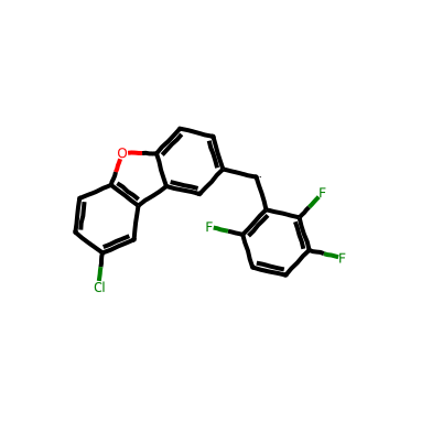 Fc1ccc(F)c([CH]c2ccc3oc4ccc(Cl)cc4c3c2)c1F